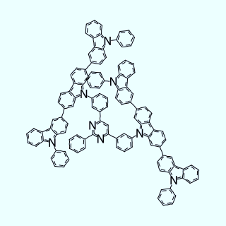 c1ccc(-c2nc(-c3cccc(-n4c5cc(-c6ccc7c(c6)c6ccccc6n7-c6ccccc6)ccc5c5ccc(-c6ccc7c(c6)c6ccccc6n7-c6ccccc6)cc54)c3)cc(-c3cccc(-n4c5cc(-c6ccc7c(c6)c6ccccc6n7-c6ccccc6)ccc5c5ccc(-c6ccc7c(c6)c6ccccc6n7-c6ccccc6)cc54)c3)n2)cc1